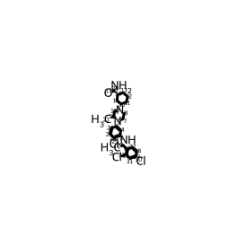 CC(Nc1cc(N2CCN([C@@H]3CCC[C@H](C(N)=O)C3)C[C@@H]2C)ccc1Cl)c1ccc(Cl)cc1Cl